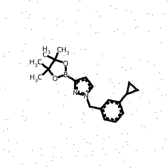 CC1(C)OB(c2ccn(Cc3cccc(C4CC4)c3)n2)OC1(C)C